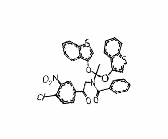 CC(Oc1csc2ccccc12)(Oc1csc2ccccc12)N(CC(=O)c1ccc(Cl)c([N+](=O)[O-])c1)C(=O)c1ccccc1